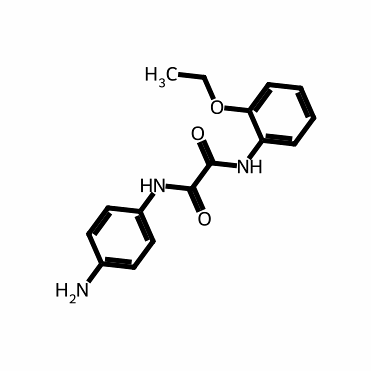 CCOc1ccccc1NC(=O)C(=O)Nc1ccc(N)cc1